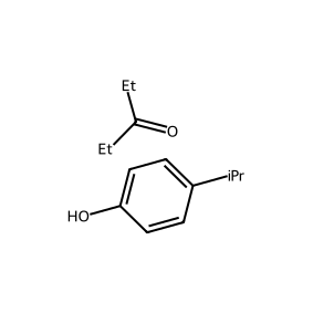 CC(C)c1ccc(O)cc1.CCC(=O)CC